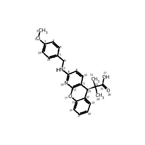 COc1ccc(CNc2ccc3c(n2)Oc2ccccc2[C@@H]3C(C)(C)C(=O)O)cc1